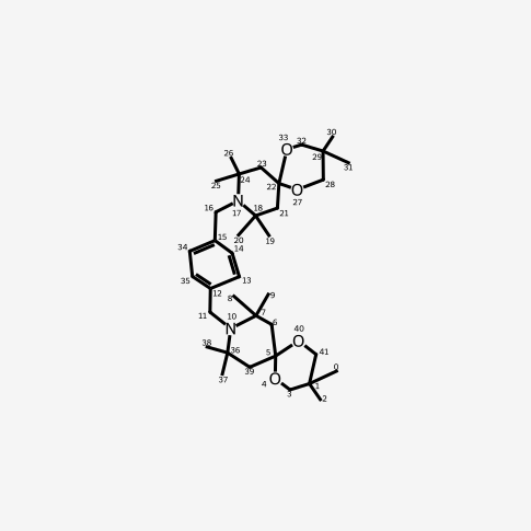 CC1(C)COC2(CC(C)(C)N(Cc3ccc(CN4C(C)(C)CC5(CC4(C)C)OCC(C)(C)CO5)cc3)C(C)(C)C2)OC1